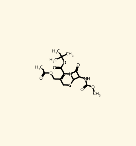 COC(=O)NC1C(=O)N2C(C(=O)OC(C)(C)C)=C(COC(C)=O)CSC12